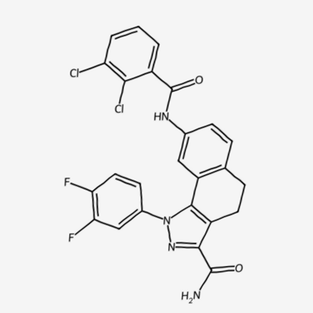 NC(=O)c1nn(-c2ccc(F)c(F)c2)c2c1CCc1ccc(NC(=O)c3cccc(Cl)c3Cl)cc1-2